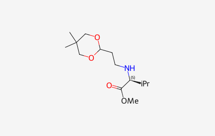 COC(=O)[C@@H](NCCC1OCC(C)(C)CO1)C(C)C